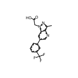 Cc1nn(CC(=O)O)c2cc(-c3cccc(C(F)(F)F)c3)cnc12